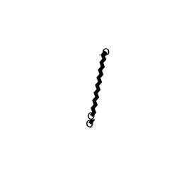 COCOCCCCCCCCCCCCCCC[C]=O